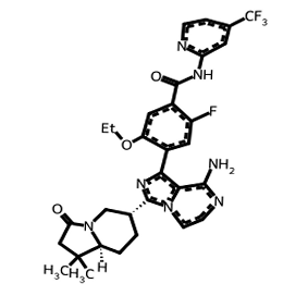 CCOc1cc(C(=O)Nc2cc(C(F)(F)F)ccn2)c(F)cc1-c1nc([C@@H]2CC[C@@H]3N(C2)C(=O)CC3(C)C)n2ccnc(N)c12